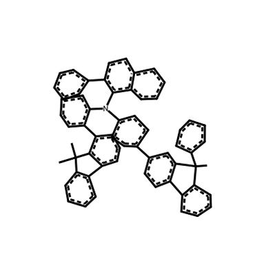 CC1(C)c2ccccc2-c2cccc(-c3ccccc3N(c3ccc(-c4ccc5c(c4)C(C)(c4ccccc4)c4ccccc4-5)cc3)c3c(-c4ccccc4)ccc4ccccc34)c21